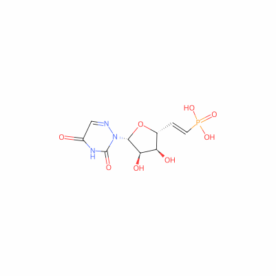 O=c1cnn([C@@H]2O[C@H](/C=C/P(=O)(O)O)[C@@H](O)[C@H]2O)c(=O)[nH]1